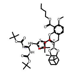 CCCCOC(=O)c1c(OC)ccc(C[C@H](Sc2nnc(N/C(=N\C(=O)OC(C)(C)C)NC(=O)OC(C)(C)C)s2)B2OC3CC4CC(C4(C)C)[C@]3(C)O2)c1OC(=O)OC(C)(C)C